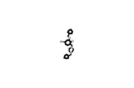 CC(C)c1ccc(CN2CCN(Cc3ccccc3)CC2)c(=O)c(OCc2ccccc2)c1